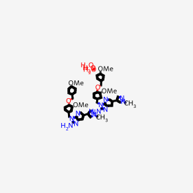 COc1ccc(COc2ccc(Cn3c(N)nc4cc(-c5cnn(C)c5)cnc43)cc2OC)cc1.COc1ccc(COc2ccc(Cn3c(N)nc4cc(-c5cnn(C)c5)cnc43)cc2OC)cc1.O.O.O